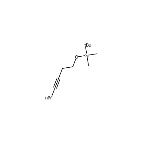 CCCC#CCCO[Si](C)(C)C(C)(C)C